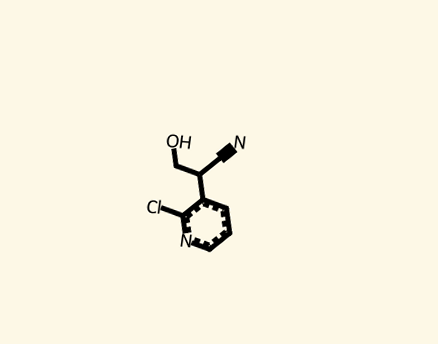 N#CC(CO)c1cccnc1Cl